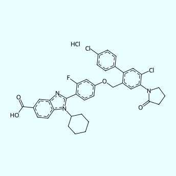 Cl.O=C(O)c1ccc2c(c1)nc(-c1ccc(OCc3cc(N4CCCC4=O)c(Cl)cc3-c3ccc(Cl)cc3)cc1F)n2C1CCCCC1